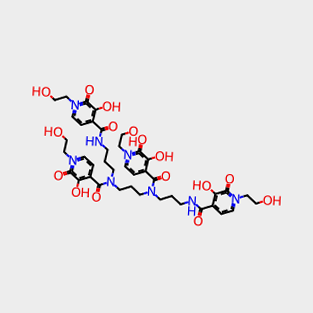 O=C(NCCCN(CCCN(CCCNC(=O)c1ccn(CCO)c(=O)c1O)C(=O)c1ccn(CCO)c(=O)c1O)C(=O)c1ccn(CCO)c(=O)c1O)c1ccn(CCO)c(=O)c1O